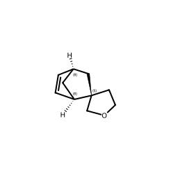 C1=C[C@H]2C[C@@H]1C[C@]21CCOC1